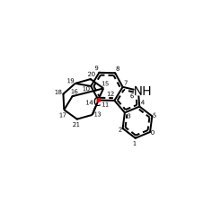 c1ccc2c(c1)[nH]c1ccc3c(c12)C1CC2CC(CC3C2)C1